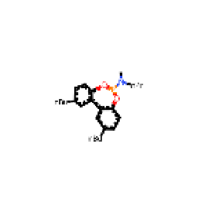 CCCCc1ccc2op(N(C)CCC)oc3ccc(CCCC)cc3c2c1